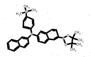 CC1(C)OB(c2ccc3cc(N(c4ccc([Si](C)(C)C)cc4)c4ccc5ccccc5c4)ccc3c2)OC1(C)C